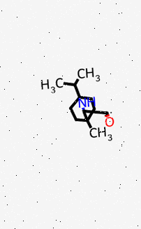 CC(C)C12CCC(C)(CC1)C([C]=O)N2